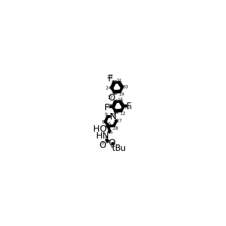 CC(C)(C)OC(=O)NCC1(O)CCN(c2cc(F)cc(Oc3cccc(F)c3)c2F)CC1